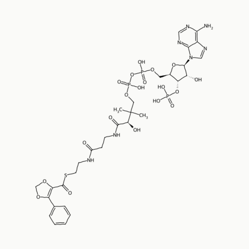 CC(C)(COP(=O)(O)OP(=O)(O)OC[C@H]1O[C@@H](n2cnc3c(N)ncnc32)[C@H](O)[C@@H]1OP(=O)(O)O)[C@@H](O)C(=O)NCCC(=O)NCCSC(=O)C1=C(c2ccccc2)OCO1